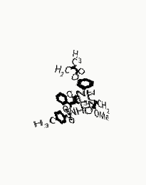 C=C(C)C(=O)OC.C=C(C)C(=O)Oc1cccc(NC(=O)/C(C#N)=C(/NS(=O)(=O)c2ccc(C)cc2)c2ccccc2)c1